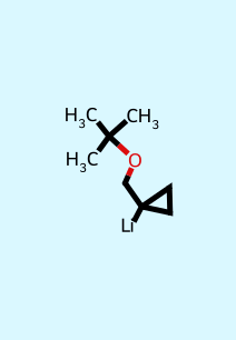 [Li][C]1(COC(C)(C)C)CC1